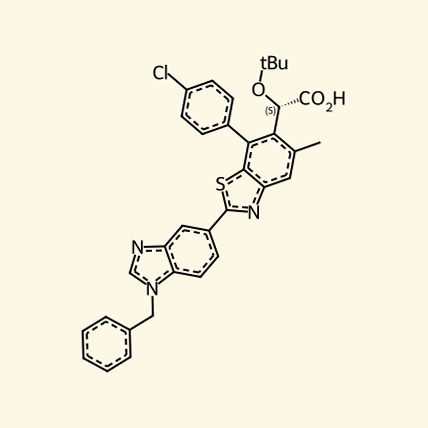 Cc1cc2nc(-c3ccc4c(c3)ncn4Cc3ccccc3)sc2c(-c2ccc(Cl)cc2)c1[C@H](OC(C)(C)C)C(=O)O